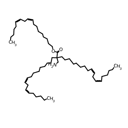 CCCCC/C=C\C/C=C\CCCCCCCCOC(=O)C(CN)(CCCCCCCC/C=C\C/C=C\CCCCC)CCCCCCCC/C=C\C/C=C\CCCCC